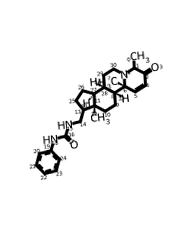 CC1C(=O)C=C[C@]2(C)[C@@H]3CC[C@]4(C)C(CNC(=O)Nc5ccccc5)CC[C@H]4[C@@H]3CCN12